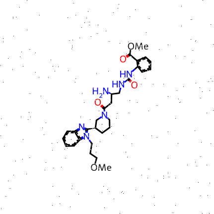 COCCCn1c([C@@H]2CCCN(C(=O)C[C@@H](N)CNC(=O)Nc3ccccc3C(=O)OC)C2)nc2ccccc21